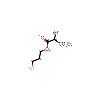 CCOC(=O)C(CC)C(=O)OCCCCl